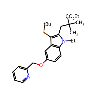 CCOC(=O)C(C)(C)Cc1c(SC(C)(C)C)c2cc(OCc3ccccn3)ccc2n1CC